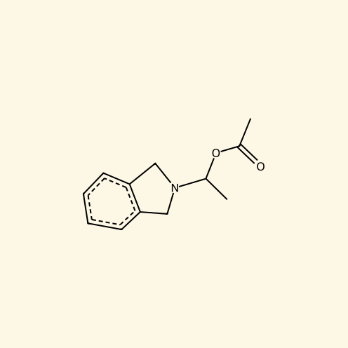 CC(=O)OC(C)N1Cc2ccccc2C1